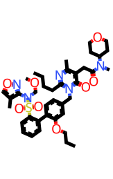 CCCCc1nc(C)c(CC(=O)N(C)C2CCOCC2)c(=O)n1Cc1ccc(-c2ccccc2S(=O)(=O)N(COC)c2nocc2C)c(OCCC)c1